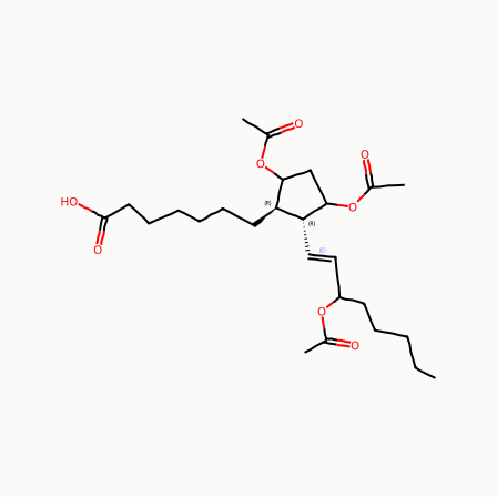 CCCCCC(/C=C/[C@H]1C(OC(C)=O)CC(OC(C)=O)[C@@H]1CCCCCCC(=O)O)OC(C)=O